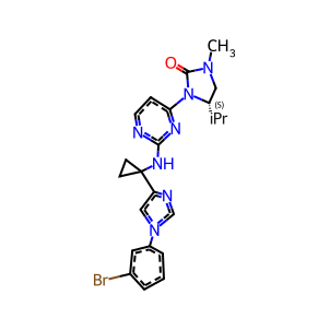 CC(C)[C@H]1CN(C)C(=O)N1c1ccnc(NC2(c3cn(-c4cccc(Br)c4)cn3)CC2)n1